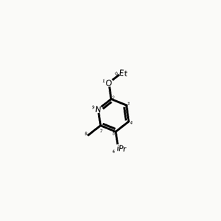 CCOc1ccc(C(C)C)c(C)n1